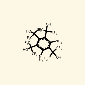 Nc1c(C(O)(C(F)(F)F)C(F)(F)F)c(N)c(C(O)(C(F)(F)F)C(F)(F)F)c(C(O)(C(F)(F)F)C(F)(F)F)c1C(O)(C(F)(F)F)C(F)(F)F